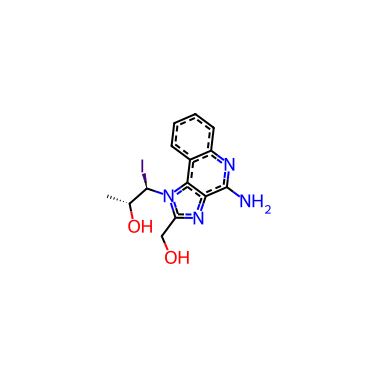 C[C@@H](O)[C@@H](I)n1c(CO)nc2c(N)nc3ccccc3c21